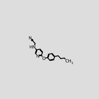 CCCCc1ccc(Oc2ccc(NCC#N)cn2)cc1